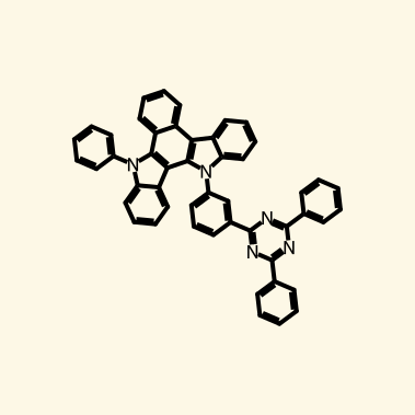 c1ccc(-c2nc(-c3ccccc3)nc(-c3cccc(-n4c5ccccc5c5c6ccccc6c6c(c7ccccc7n6-c6ccccc6)c54)c3)n2)cc1